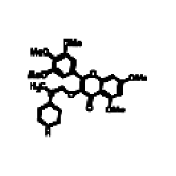 COc1cc(OC)c2c(=O)c(OCN(C)C3CCNCC3)c(-c3cc(OC)c(OC)c(OC)c3)oc2c1